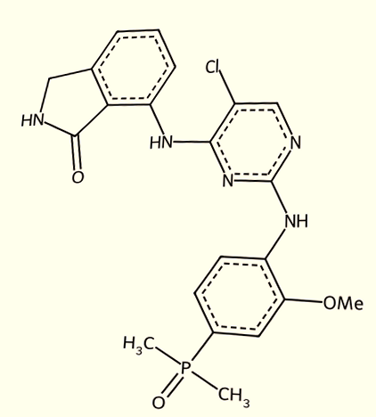 COc1cc(P(C)(C)=O)ccc1Nc1ncc(Cl)c(Nc2cccc3c2C(=O)NC3)n1